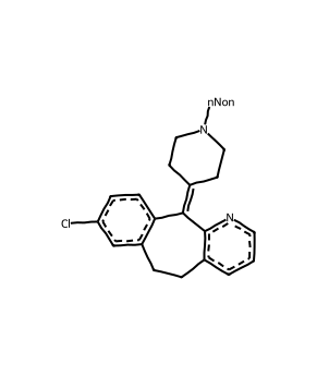 CCCCCCCCCN1CCC(=C2c3ccc(Cl)cc3CCc3cccnc32)CC1